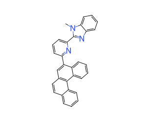 Cn1c(-c2cccc(-c3cc4ccc5ccccc5c4c4ccccc34)n2)nc2ccccc21